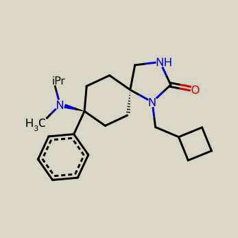 CC(C)N(C)[C@]1(c2ccccc2)CC[C@]2(CC1)CNC(=O)N2CC1CCC1